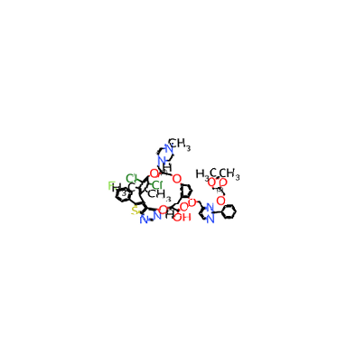 CC1=C2c3c(-c4ccc(F)cc4)sc4ncnc(c34)O[C@@H](C(=O)O)Cc3cc(ccc3OCc3ccnc(-c4ccccc4OC[C@H]4COC(C)(C)O4)n3)OC[C@@H](CN3CCN(C)CC3)OC(=C1Cl)C(Cl)C2C